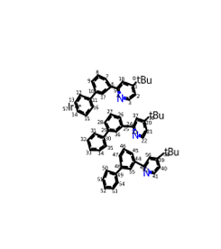 CC(C)(C)c1ccnc(-c2cccc(-c3ccccc3)c2)c1.CC(C)(C)c1ccnc(-c2cccc(-c3ccccc3)c2)c1.CC(C)(C)c1ccnc(-c2cccc(-c3ccccc3)c2)c1.[Ir+3]